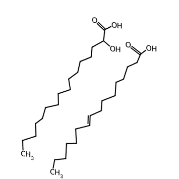 CCCCCCC=CCCCCCCCC(=O)O.CCCCCCCCCCCCCCC(O)C(=O)O